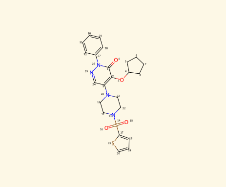 O=c1c(OC2CCCC2)c(N2CCN(S(=O)(=O)c3cccs3)CC2)cnn1-c1ccccc1